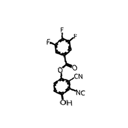 [C-]#[N+]c1c(O)ccc(OC(=O)c2cc(F)c(F)c(F)c2)c1C#N